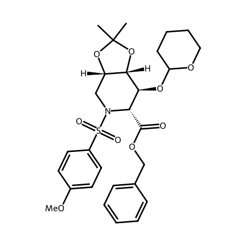 COc1ccc(S(=O)(=O)N2C[C@@H]3OC(C)(C)O[C@@H]3[C@@H](OC3CCCCO3)[C@@H]2C(=O)OCc2ccccc2)cc1